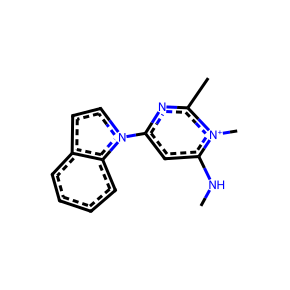 CNc1cc(-n2ccc3ccccc32)nc(C)[n+]1C